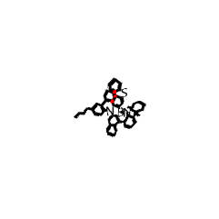 CCCCc1ccc(N2c3cc4c(cc3B3c5c2cc2ccccc2c5-c2cccc5c2N3C2(C)CCCCC52C)sc2ccccc24)c(-c2ccccc2)c1